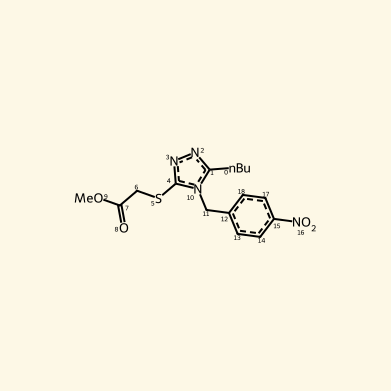 CCCCc1nnc(SCC(=O)OC)n1Cc1ccc([N+](=O)[O-])cc1